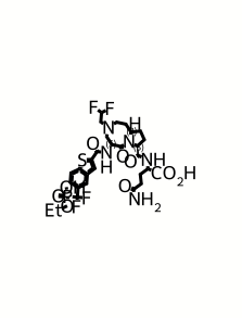 CCOP(=O)(O)C(F)(F)c1ccc2sc(C(=O)N[C@H]3CN(CC(F)F)CC[C@H]4CC[C@@H](C(=O)NC(CCC(N)=O)C(=O)O)N4C3=O)cc2c1